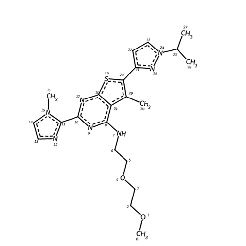 COCCOCCNc1nc(-c2nccn2C)nc2sc(-c3ccn(C(C)C)n3)c(C)c12